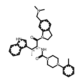 Cc1ccccc1N1CCN(C(=O)N[C@@H](C(=O)N2CCc3ccc(CN(C)C)cc32)[C@H](C)c2c[nH]c3ccccc23)CC1